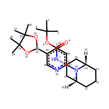 CC(C)(C)OC(=O)N[C@H]1C[C@H]2CCC[C@@H](C1)N2c1ccc(B2OC(C)(C)C(C)(C)O2)cn1